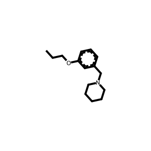 CCCOc1cccc(CN2CCCCC2)c1